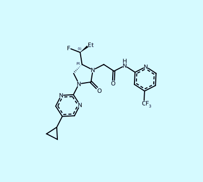 CC[C@H](F)[C@H]1CN(c2ncc(C3CC3)cn2)C(=O)N1CC(=O)Nc1cc(C(F)(F)F)ccn1